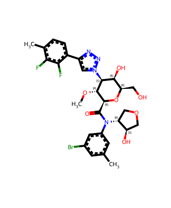 CO[C@@H]1[C@@H](n2cc(-c3ccc(C)c(F)c3F)nn2)[C@@H](O)[C@@H](CO)O[C@H]1C(=O)N(c1cc(C)cc(Br)c1)[C@@H]1COC[C@H]1O